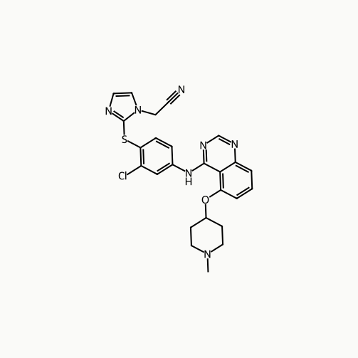 CN1CCC(Oc2cccc3ncnc(Nc4ccc(Sc5nccn5CC#N)c(Cl)c4)c23)CC1